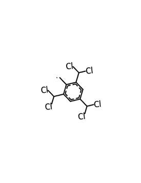 [CH2]c1c(C(Cl)Cl)cc(C(Cl)Cl)cc1C(Cl)Cl